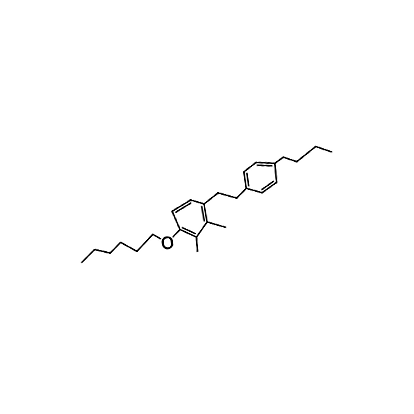 CCCCCCOc1ccc(CCc2ccc(CCCC)cc2)c(C)c1C